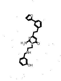 Nc1nc(CCc2cccc(-c3ccco3)c2)cc(=O)n1CCNCc1cccc(O)c1